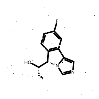 CC(C)[C@H](O)[C@@H]1c2ccc(F)cc2-c2cncn21